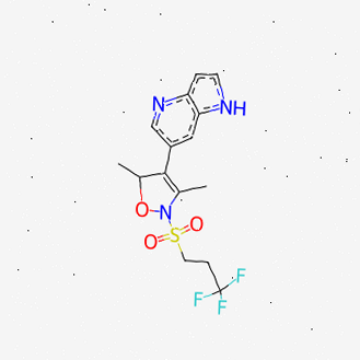 CC1=C(c2cnc3cc[nH]c3c2)C(C)ON1S(=O)(=O)CCC(F)(F)F